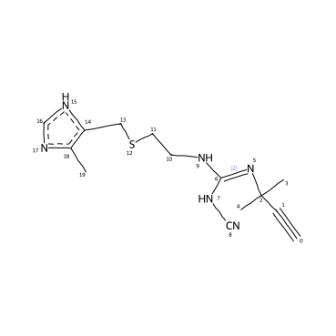 C#CC(C)(C)/N=C(\NC#N)NCCSCc1[nH]cnc1C